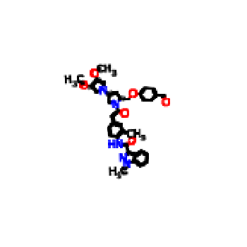 CO[C@H]1CN([C@H]2C[C@@H](CO[C@H]3CC[C@H](C=O)CC3)N(C(=O)Cc3ccc(NC(=O)c4nn(C)c5ccccc45)c(C)c3)C2)C[C@H]1OC